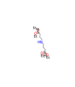 CCO[SiH](CCCNCCC[SiH](OCC)OCC)OCC